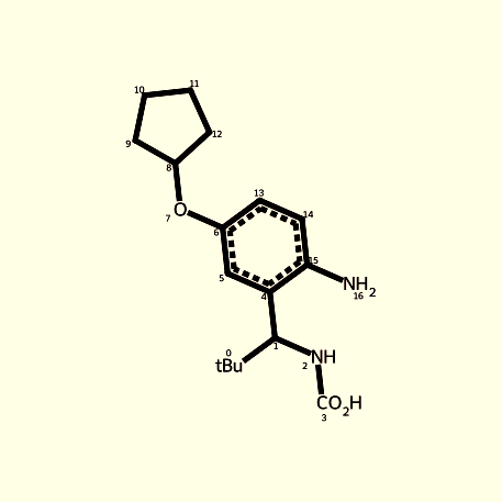 CC(C)(C)C(NC(=O)O)c1cc(OC2CCCC2)ccc1N